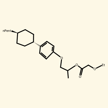 CCCCC[C@H]1CC[C@H](c2ccc(OCC(C)OC(=O)COCC)cc2)CC1